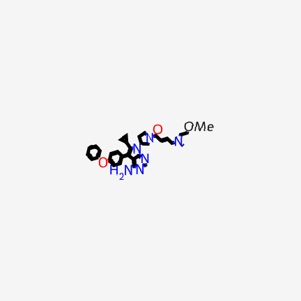 COCCN(C)CC=CC(=O)N1CC[C@@H](n2c(C3CC3)c(-c3ccc(Oc4ccccc4)cc3)c3c(N)ncnc32)C1